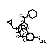 COc1ccc2c(c1)[C@]13CCN(CC4CC4)[C@H](C2)[C@]1(OC(C)=O)C[C@@H](C(=O)N1CCCCC1)C3